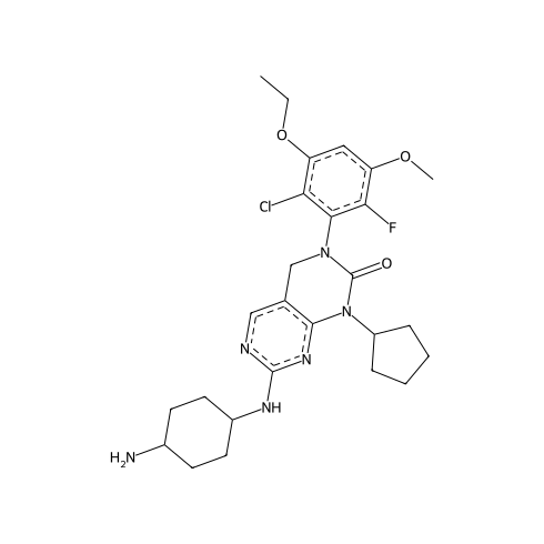 CCOc1cc(OC)c(F)c(N2Cc3cnc(NC4CCC(N)CC4)nc3N(C3CCCC3)C2=O)c1Cl